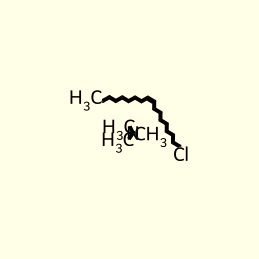 CCCCCCCC/C=C\CCCCCCCCCl.CN(C)C